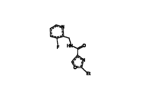 CCc1nc(C(=O)NCc2ncccc2F)co1